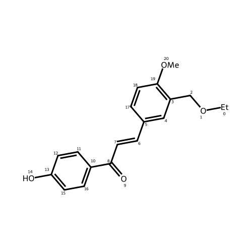 CCOCc1cc(/C=C/C(=O)c2ccc(O)cc2)ccc1OC